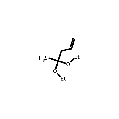 C=CCC([SiH3])(OCC)OCC